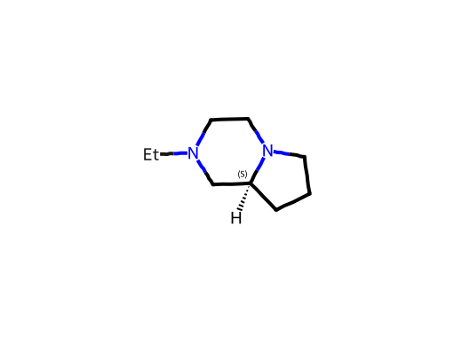 CCN1CCN2CCC[C@H]2C1